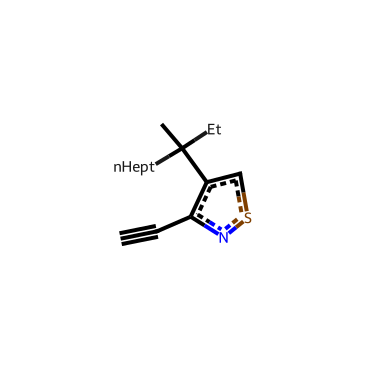 C#Cc1nscc1C(C)(CC)CCCCCCC